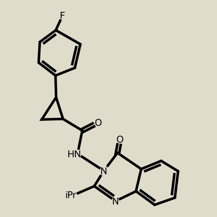 CC(C)c1nc2ccccc2c(=O)n1NC(=O)C1CC1c1ccc(F)cc1